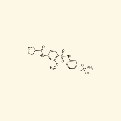 COc1cc(NC(=O)C2CCOC2)ccc1S(=O)(=O)Nc1cccc(OC(C)(F)P)c1